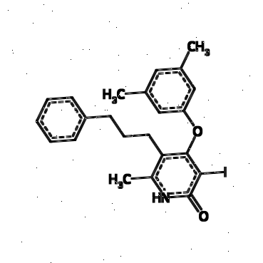 Cc1cc(C)cc(Oc2c(CCCc3ccccc3)c(C)[nH]c(=O)c2I)c1